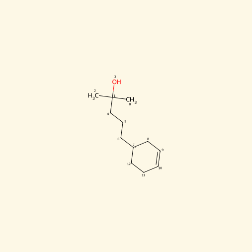 CC(C)(O)CCC[C]1CC=CCC1